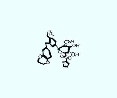 CCc1ccc([C@@H]2OC(S(=O)(=O)c3cccs3)[C@@H](O)[C@H](O)[C@H]2O)cc1Cc1ccc2c(c1)OCCO2